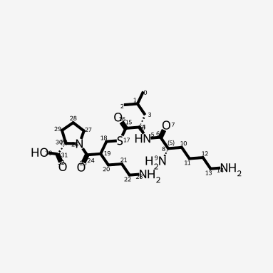 CC(C)C[C@H](NC(=O)[C@@H](N)CCCCN)C(=O)SCC(CCCN)C(=O)N1CCC[C@H]1C(=O)O